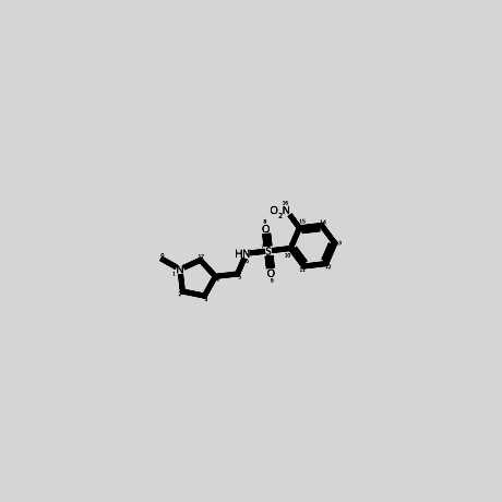 CN1CCC(CNS(=O)(=O)c2ccccc2[N+](=O)[O-])C1